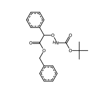 CC(C)(C)OC(=O)NOC(C(=O)OCc1ccccc1)c1ccccc1